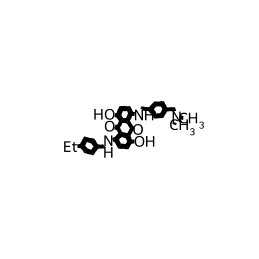 CCc1ccc(CNc2ccc(O)c3c2C(=O)c2c(O)ccc(NCc4ccc(CN(C)C)cc4)c2C3=O)cc1